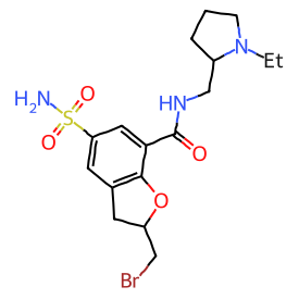 CCN1CCCC1CNC(=O)c1cc(S(N)(=O)=O)cc2c1OC(CBr)C2